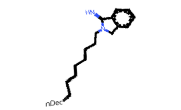 CCCCCCCCCCCCCCCCCCN1Cc2ccccc2C1=N